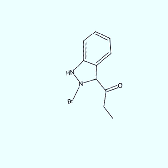 CCC(=O)C1c2ccccc2NN1Br